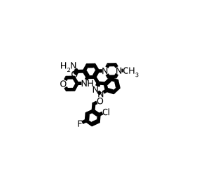 CN1CCN(c2ccc(C(N)=O)c(NC3CCOCC3)c2-c2nn(OCc3cc(F)ccc3Cl)c3ccccc23)CC1